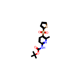 Cc1nc(NC(=O)OC(C)(C)C)ccc1S(=O)(=O)c1cccs1